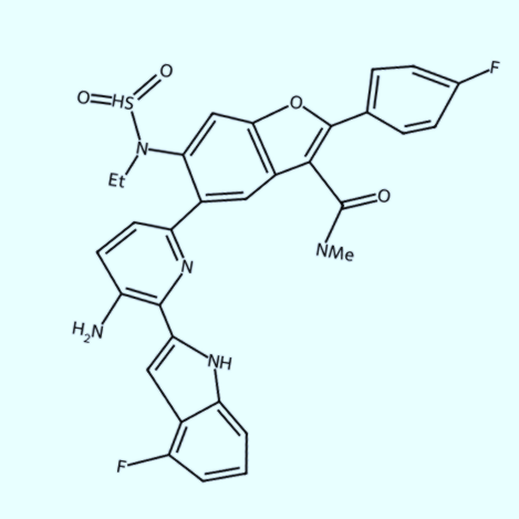 CCN(c1cc2oc(-c3ccc(F)cc3)c(C(=O)NC)c2cc1-c1ccc(N)c(-c2cc3c(F)cccc3[nH]2)n1)[SH](=O)=O